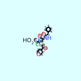 O=C(Cc1ccccc1)N[C@@H]1C(=O)N([C@@H](Cl)C(=O)O)[C@@H]1SCC(=O)C1CCOCC1